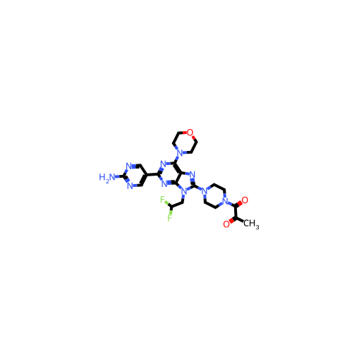 CC(=O)C(=O)N1CCN(c2nc3c(N4CCOCC4)nc(-c4cnc(N)nc4)nc3n2CC(F)F)CC1